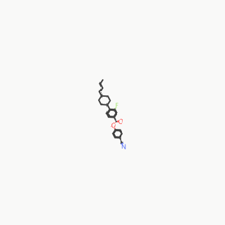 CCCCC1CCC(c2ccc(C(=O)Oc3ccc(C#N)cc3)cc2F)CC1